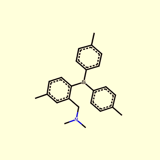 Cc1cc[c]([Bi]([c]2ccc(C)cc2)[c]2ccc(C)cc2CN(C)C)cc1